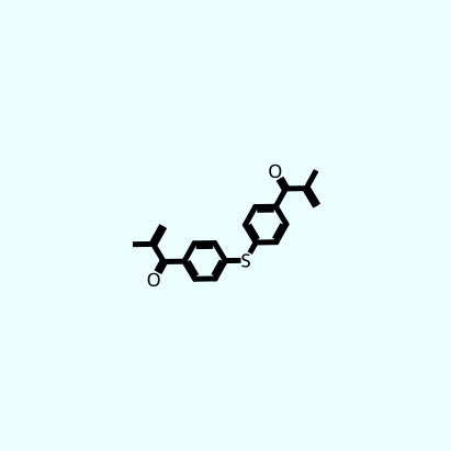 C=C(C)C(=O)c1ccc(Sc2ccc(C(=O)C(=C)C)cc2)cc1